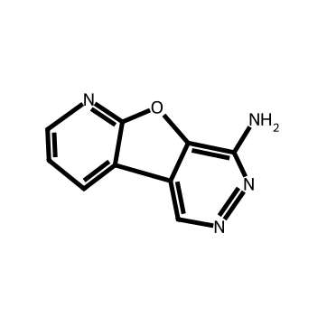 Nc1nncc2c1oc1ncccc12